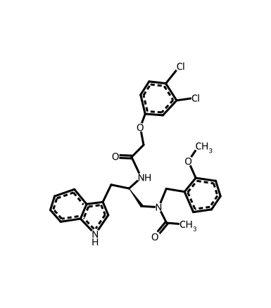 COc1ccccc1CN(C[C@@H](Cc1c[nH]c2ccccc12)NC(=O)COc1ccc(Cl)c(Cl)c1)C(C)=O